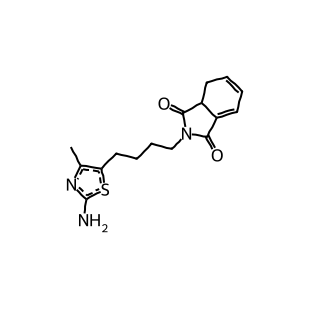 Cc1nc(N)sc1CCCCN1C(=O)C2=CC=CCC2C1=O